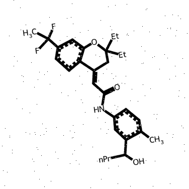 CCCC(O)c1cc(NC(=O)/C=C2\CC(CC)(CC)Oc3cc(C(C)(F)F)ccc32)ccc1C